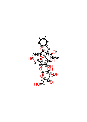 CNC(=O)C(Cc1ccccc1)(C(=O)NC)[C@@H]1O[C@H](CO)[C@@H](O[C@H]2O[C@H](CO)[C@@H](O)[C@H](O)[C@H]2O)[C@H](O)[C@H]1O